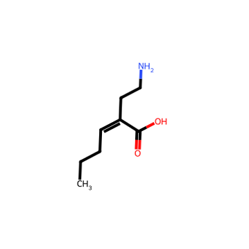 CCCC=C(CCN)C(=O)O